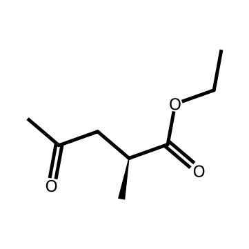 CCOC(=O)[C@@H](C)CC(C)=O